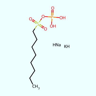 CCCCCCCCS(=O)(=O)OP(=O)(O)O.[KH].[NaH]